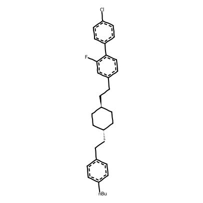 CCCCc1ccc(CC[C@H]2CC[C@H](CCc3ccc(-c4ccc(Cl)cc4)c(F)c3)CC2)cc1